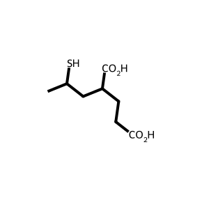 CC(S)CC(CCC(=O)O)C(=O)O